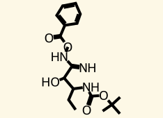 CCC(NC(=O)OC(C)(C)C)C(O)C(=N)NOC(=O)c1ccccc1